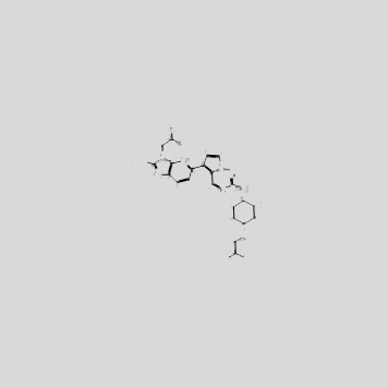 Cc1nc2ccc(-c3ccn4nc(N[C@H]5CC[C@@H](OCC(F)F)CC5)ncc34)nc2n1CC(F)F